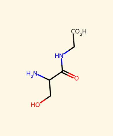 NC(CO)C(=O)NCC(=O)O